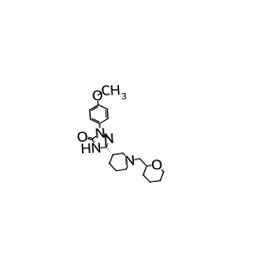 COc1ccc(-n2nc([C@H]3CCCN(CC4CCCCO4)C3)[nH]c2=O)cc1